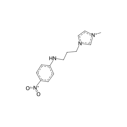 C[n+]1ccn(CCCNc2ccc([N+](=O)[O-])cc2)c1